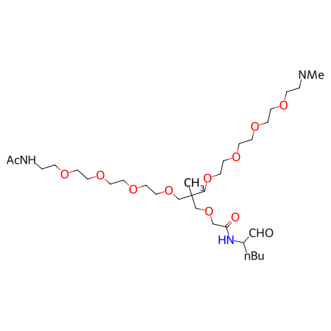 CCCCC(C=O)NC(=O)COCC(C)(COCCOCCOCCOCCNC)COCCOCCOCCOCCNC(C)=O